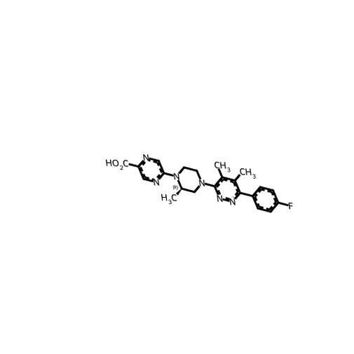 Cc1c(-c2ccc(F)cc2)nnc(N2CCN(c3cnc(C(=O)O)cn3)[C@H](C)C2)c1C